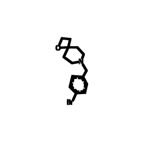 Brc1ccc(CN2CCC3(CCO3)CC2)cc1